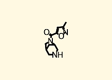 Cc1cc(C(=O)N2CC3CNCC2C3)on1